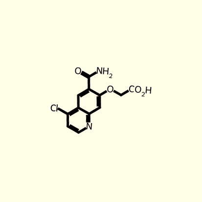 NC(=O)c1cc2c(Cl)ccnc2cc1OCC(=O)O